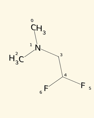 CN(C)CC(F)F